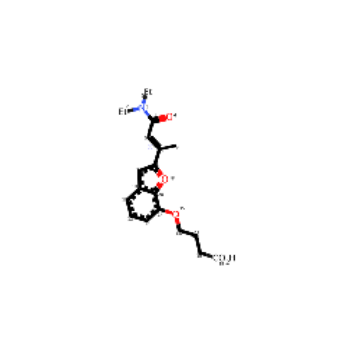 CCN(CC)C(=O)/C=C(\C)c1cc2cccc(OCCCC(=O)O)c2o1